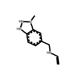 C=CNCc1ccc2c(c1)N(C)NN2